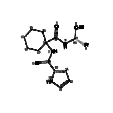 CC(C)[C@@H](C=O)NC(=O)C1(NC(=O)c2ccc[nH]2)CCCCC1